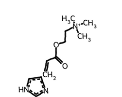 C=CC(=O)OCC[N+](C)(C)C.c1c[nH]cn1